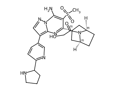 CS(=O)(=O)c1c([C@@H]2C[C@H]3CC[C@@H](C2)N3C(=O)CO)nc2c(-c3ccc(C4CCCN4)nc3)cnn2c1N